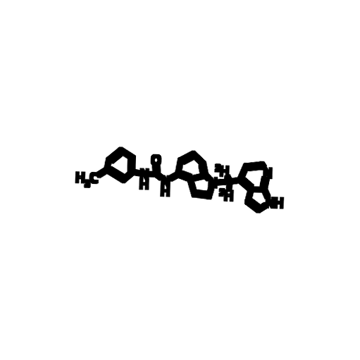 [2H]C([2H])(c1ccnc2[nH]ccc12)n1ccc2c(NC(=O)Nc3cccc(C)c3)cccc21